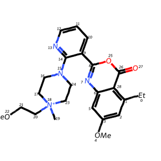 CCc1cc(OC)cc2nc(-c3cccnc3N3CC[N+](C)(CCOC)CC3)oc(=O)c12